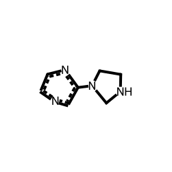 c1cnc(N2CCNC2)cn1